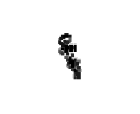 O=C(NC1CCC2CC3CC2CC1C3)C1CCN(S(=O)(=O)c2ccc(Cl)s2)CC1